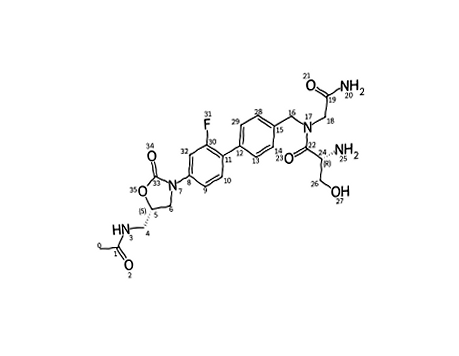 CC(=O)NC[C@H]1CN(c2ccc(-c3ccc(CN(CC(N)=O)C(=O)[C@H](N)CO)cc3)c(F)c2)C(=O)O1